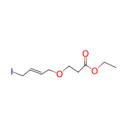 CCOC(=O)CCOC/C=C/CI